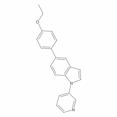 CCOc1ccc(-c2ccc3c(ccn3-c3cccnc3)c2)cc1